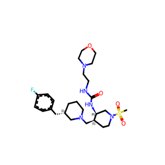 CS(=O)(=O)N1CC[C@@H](CN2CCC[C@@H](Cc3ccc(F)cc3)C2)[C@@H](NC(=O)NCCN2CCOCC2)C1